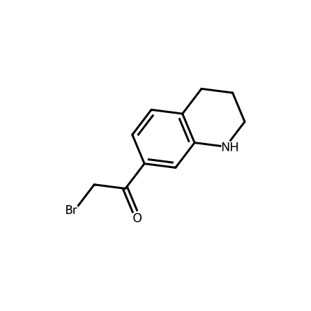 O=C(CBr)c1ccc2c(c1)NCCC2